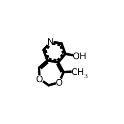 CC1=c2c(O)cncc2=COCO1